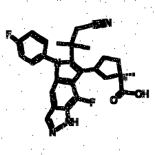 CC(C)(CC#N)c1c(C2CC[C@@](C)(C(=O)O)C2)c2c(F)c3[nH]ncc3cc2n1-c1ccc(F)cc1